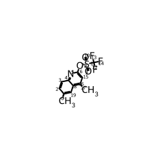 Cc1ccc2nc(OS(=O)(=O)C(F)(F)F)cc(C)c2c1